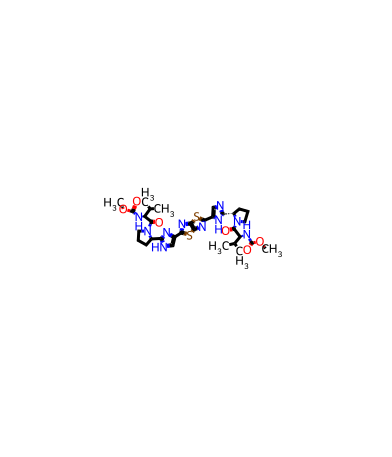 COC(=O)N[C@H](C(=O)N1CCCC1c1nc(-c2nc3sc(-c4cnc([C@@H]5CCCN5C(=O)[C@@H](NC(=O)OC)C(C)C)[nH]4)nc3s2)c[nH]1)C(C)C